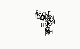 C[C@@](C(=O)N[C@@H]1C[C@@H]2CC1CC2(F)F)(c1cncnc1)N(C(=O)[C@H](F)Cl)c1ccc(OC(F)(F)F)cc1